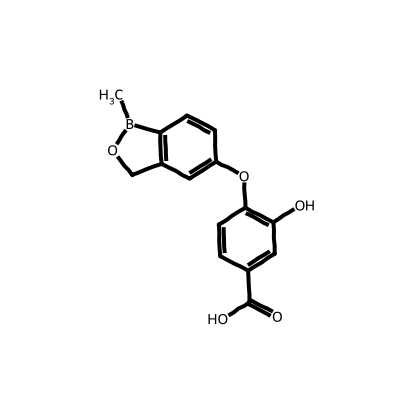 CB1OCc2cc(Oc3ccc(C(=O)O)cc3O)ccc21